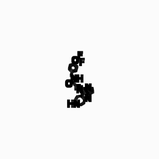 O=C(NCc1ccc(OC(F)F)cc1)C1CN(c2c3c(nc4ccnn24)CCNCC3)C1